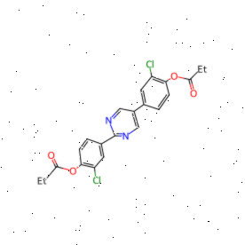 CCC(=O)Oc1ccc(-c2cnc(-c3ccc(OC(=O)CC)c(Cl)c3)nc2)cc1Cl